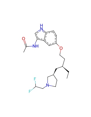 CC[C@H](CCOc1ccc2[nH]cc(NC(C)=O)c2c1)C[C@H]1CCN(CC(F)F)C1